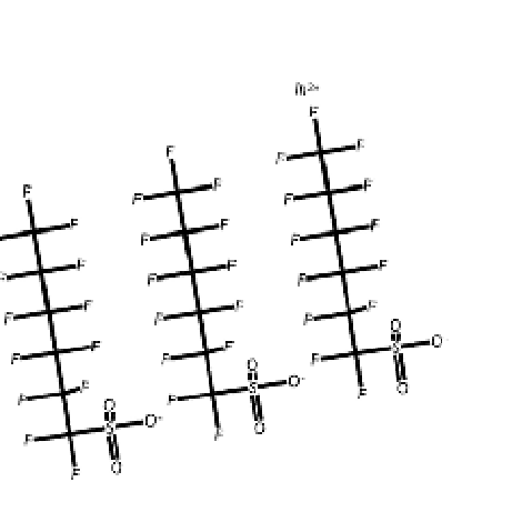 O=S(=O)([O-])C(F)(F)C(F)(F)C(F)(F)C(F)(F)C(F)(F)C(F)(F)F.O=S(=O)([O-])C(F)(F)C(F)(F)C(F)(F)C(F)(F)C(F)(F)C(F)(F)F.O=S(=O)([O-])C(F)(F)C(F)(F)C(F)(F)C(F)(F)C(F)(F)C(F)(F)F.[In+3]